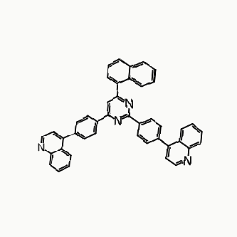 c1ccc2c(-c3cc(-c4ccc(-c5ccnc6ccccc56)cc4)nc(-c4ccc(-c5ccnc6ccccc56)cc4)n3)cccc2c1